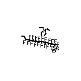 CCC(F)C(F)(F)C(F)(F)C(F)(F)C(F)(F)C(F)(F)C(F)(F)C(F)(F)C(F)(F)C(F)(F)S(=O)(=O)[O-].CC[N+](CC)(CC)CC